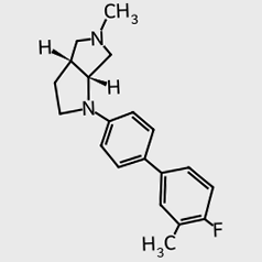 Cc1cc(-c2ccc(N3CC[C@@H]4CN(C)C[C@@H]43)cc2)ccc1F